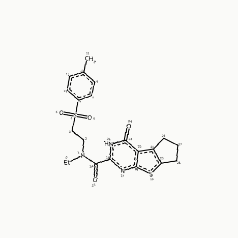 CCN(CCS(=O)(=O)c1ccc(C)cc1)C(=O)c1nc2sc3c(c2c(=O)[nH]1)CCC3